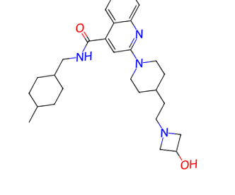 CC1CCC(CNC(=O)c2cc(N3CCC(CCN4CC(O)C4)CC3)nc3ccccc23)CC1